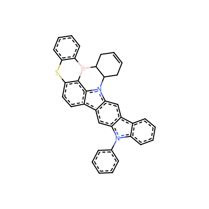 C1=CCC2C(C1)B1c3ccccc3Sc3ccc4c5cc6c(cc5n2c4c31)c1ccccc1n6-c1ccccc1